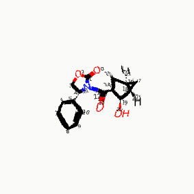 O=C1OC[C@@H](c2ccccc2)N1C(=O)[C@H]1C[C@H]2C[C@@H]2[C@H]1O